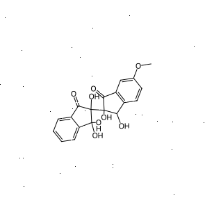 COc1ccc2c(c1)C(=O)C(O)(C1(O)C(=O)c3ccccc3C1(O)O)C2O